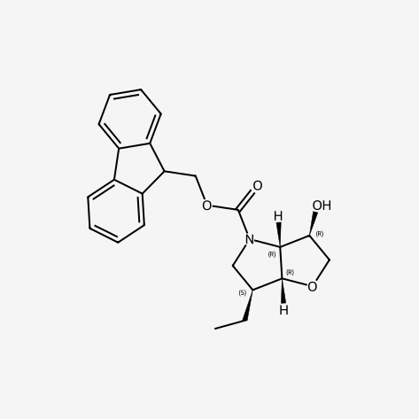 CC[C@H]1CN(C(=O)OCC2c3ccccc3-c3ccccc32)[C@H]2[C@@H]1OC[C@@H]2O